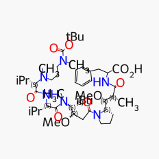 CC[C@H](C)[C@@H]([C@@H](CC(=O)N1CCC[C@H]1[C@H](OC)[C@@H](C)C(=O)NC(Cc1ccccc1)C(=O)O)OC)N(C)C(=O)[C@@H](NC(=O)[C@H](C(C)C)N(C)CCCN(C)C(=O)OC(C)(C)C)C(C)C